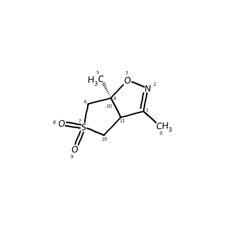 CC1=NO[C@]2(C)CS(=O)(=O)CC12